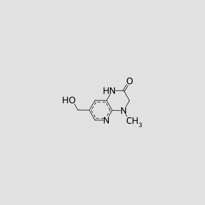 CN1CC(=O)Nc2cc(CO)cnc21